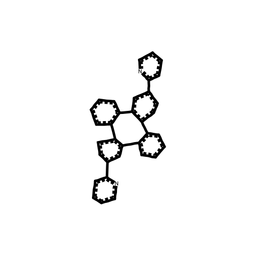 c1ccc(-c2ccc3c(c2)-c2ccccc2-c2ccc(-c4ccccn4)cc2-c2ccccc2-3)nc1